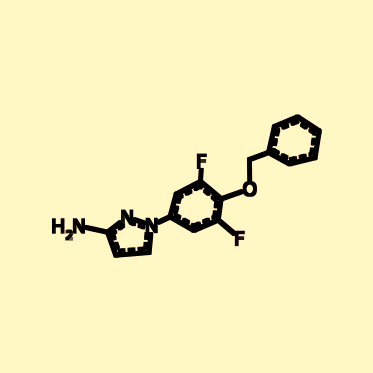 Nc1ccn(-c2cc(F)c(OCc3ccccc3)c(F)c2)n1